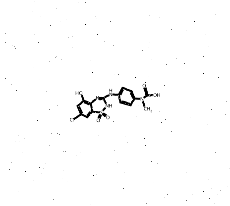 CN(C(=O)O)c1ccc(NC2=Nc3c(O)cc(Cl)cc3S(=O)(=O)N2)cc1